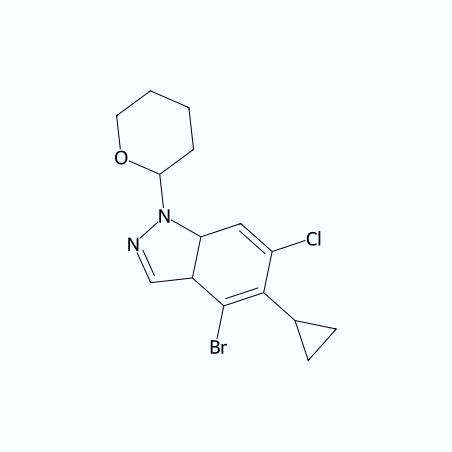 ClC1=CC2C(C=NN2C2CCCCO2)C(Br)=C1C1CC1